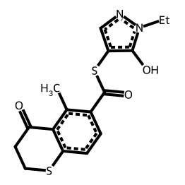 CCn1ncc(SC(=O)c2ccc3c(c2C)C(=O)CCS3)c1O